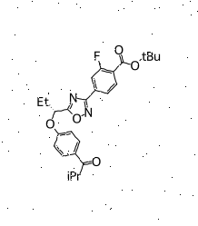 CC[C@@H](Oc1ccc(C(=O)C(C)C)cc1)c1nc(-c2ccc(C(=O)OC(C)(C)C)c(F)c2)no1